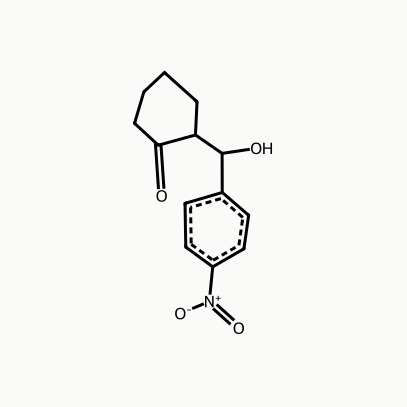 O=C1CCCCC1C(O)c1ccc([N+](=O)[O-])cc1